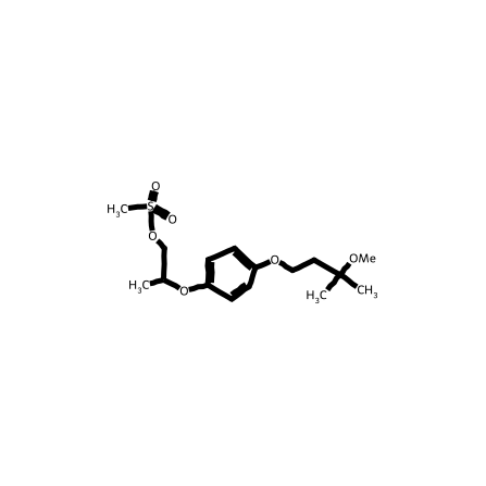 COC(C)(C)CCOc1ccc(OC(C)COS(C)(=O)=O)cc1